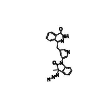 CC1(N=[N+]=[N-])C(=O)N(c2cncc(Cc3n[nH]c(=O)c4ccccc34)c2)c2ccccc21